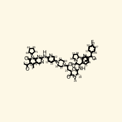 CC(=O)c1c(C)c2cnc(Nc3ccc(N4CCN(C(=O)CCC(=O)N(C)[C@@H](C)C(=O)N[C@H](C(=O)N5CCC[C@H]5c5nc(C(=O)c6ccc(F)cc6)cs5)C5CCCCC5)CC4)cn3)nc2n(C2CCCC2)c1=O